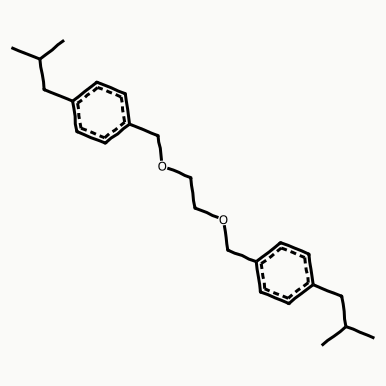 CC(C)Cc1ccc(COCCOCc2ccc(CC(C)C)cc2)cc1